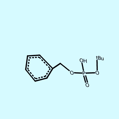 CC(C)(C)OP(=O)(O)OCc1ccccc1